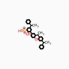 CC(c1ccccc1)c1ccc(C(C)c2cc(-c3cc(C(C)c4ccccc4)cc(S(=O)(=O)O)c3O)ccc2O)cc1